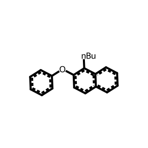 [CH2]CCCc1c(Oc2ccccc2)ccc2ccccc12